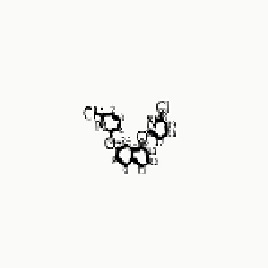 Clc1cccc(Oc2ccc3cccc(Oc4cccc(Cl)n4)c3c2)n1